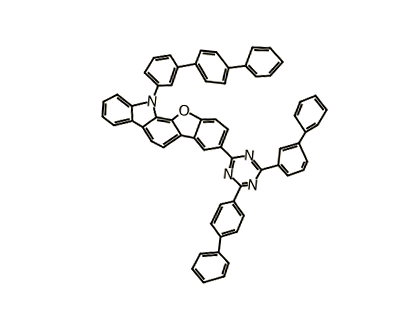 c1ccc(-c2ccc(-c3cccc(-n4c5ccccc5c5ccc6c7cc(-c8nc(-c9ccc(-c%10ccccc%10)cc9)nc(-c9cccc(-c%10ccccc%10)c9)n8)ccc7oc6c54)c3)cc2)cc1